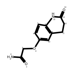 NC(=O)COc1ccc2c(c1)CCC(=O)N2